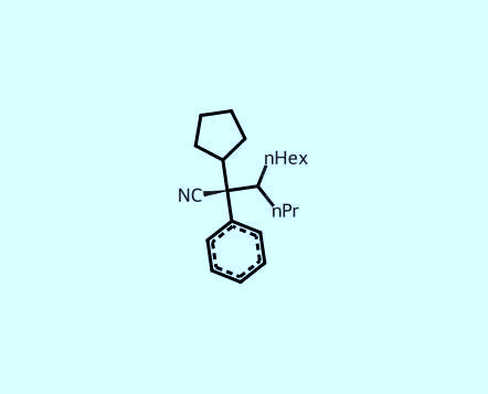 CCCCCCC(CCC)[C@](C#N)(c1ccccc1)C1CCCC1